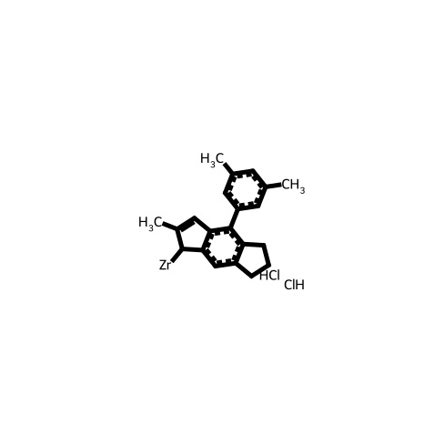 CC1=Cc2c(cc3c(c2-c2cc(C)cc(C)c2)CCC3)[CH]1[Zr].Cl.Cl